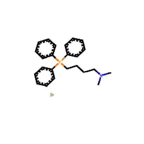 CN(C)CCCC[P+](c1ccccc1)(c1ccccc1)c1ccccc1.[Br-]